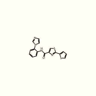 O=C(Nc1ccccc1-n1ccnc1)c1csc(-c2cccs2)n1